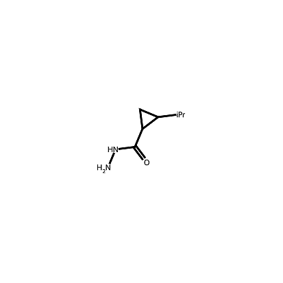 CC(C)C1CC1C(=O)NN